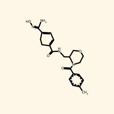 Cc1ccc(C(=O)N2CCOCC2CNC(=O)C2=CC=C(/C(N)=N/O)CC2)cc1